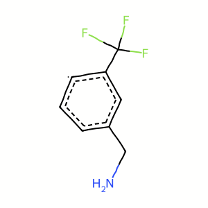 NCc1cc[c]c(C(F)(F)F)c1